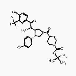 CN(C(=O)c1ccc(Cl)c(C(F)(F)F)c1)[C@H]1CN(C(=O)C2CCN(C(=O)OC(C)(C)C)CC2)C[C@@H]1c1ccc(Cl)cc1